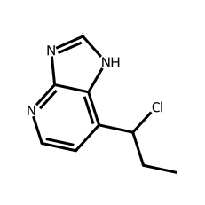 CCC(Cl)c1ccnc2n[c][nH]c12